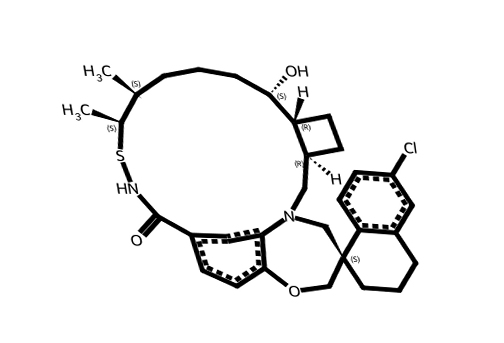 C[C@@H]1SNC(=O)c2ccc3c(c2)N(C[C@@H]2CC[C@H]2[C@@H](O)CCC[C@@H]1C)C[C@@]1(CCCc2cc(Cl)ccc21)CO3